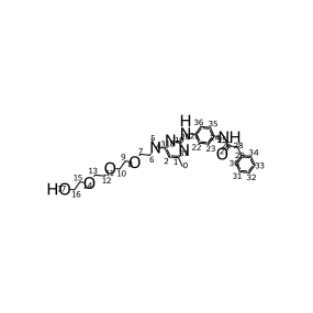 Cc1cc(N(C)CCOCCOCCOCCO)nc(Nc2ccc(NC(=O)Cc3ccccc3)cc2)n1